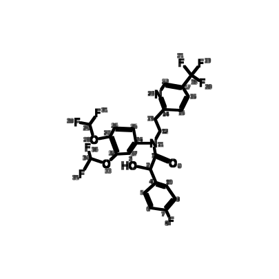 O=C(C(O)c1ccc(F)cc1)N(CCc1ccc(C(F)(F)F)cn1)c1ccc(OC(F)F)c(OC(F)F)c1